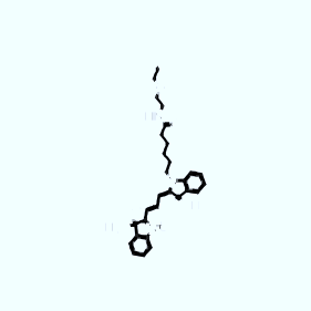 CC[N+]1=C(/C=C/C=C2/N(CCCCCC(=O)NCCOCCO)c3ccccc3C2(C)C)C(C)(C)c2ccccc21